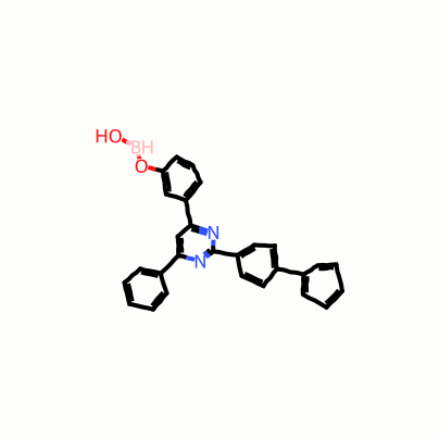 OBOc1cccc(-c2cc(-c3ccccc3)nc(-c3ccc(-c4ccccc4)cc3)n2)c1